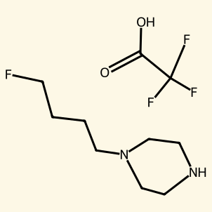 FCCCCN1CCNCC1.O=C(O)C(F)(F)F